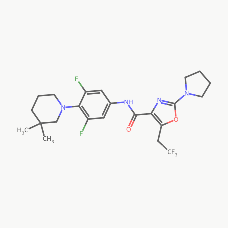 CC1(C)CCCN(c2c(F)cc(NC(=O)c3nc(N4CCCC4)oc3CC(F)(F)F)cc2F)C1